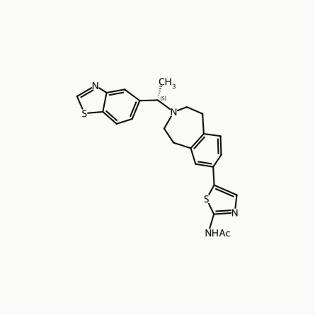 CC(=O)Nc1ncc(-c2ccc3c(c2)CCN([C@@H](C)c2ccc4scnc4c2)CC3)s1